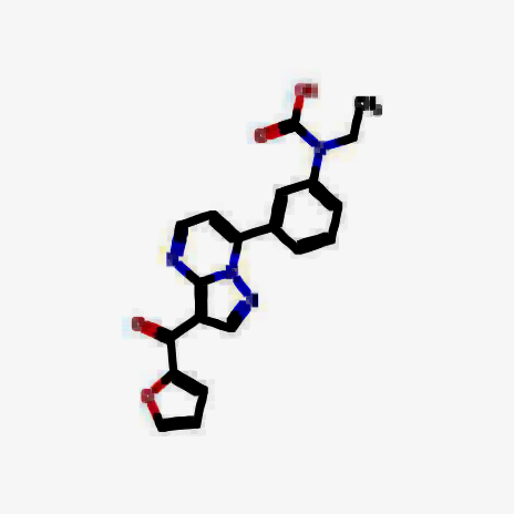 CCN(C(=O)O)c1cccc(-c2ccnc3c(C(=O)c4ccco4)cnn23)c1